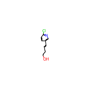 OCCC=Cc1ccc(Cl)nc1